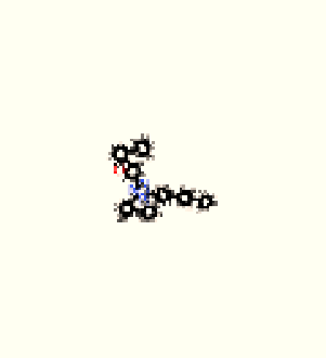 c1ccc(-c2ccc(-c3ccc(-c4nc(-c5ccc6c(c5)oc5cccc(-c7ccccc7)c56)nc(-c5ccccc5-c5ccccc5)n4)cc3)cc2)cc1